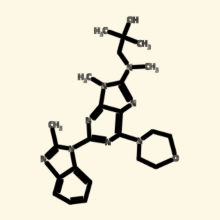 Cc1nc2ccccc2n1-c1nc(N2CCOCC2)c2nc(N(C)CC(C)(C)O)n(C)c2n1